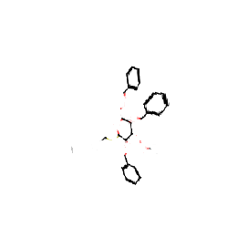 CCSC1O[C@H](COCc2ccccc2)[C@@H](OCc2ccccc2)[C@H](OOC)[C@H]1OCc1ccccc1